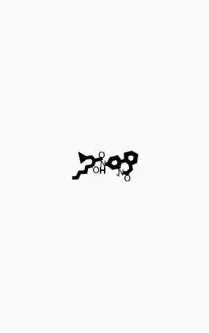 CCCCCC(O)C(CC1CC1)C(=O)Nc1ccc2c(c1)N(C)C(=O)Cc1ccccc1-2